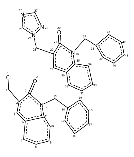 O=c1c(CCl)cc2ccccc2n1Cc1ccccc1.O=c1c(Cn2cncn2)cc2ccccc2n1Cc1ccccc1